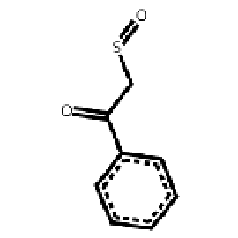 O=[S+]CC(=O)c1ccccc1